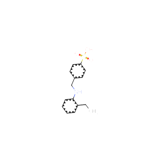 CCc1ccccc1NCc1ccc(S(=O)(=O)O)cc1